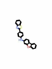 c1ccc2sc(-c3ccc(Nc4ccc5c(c4)oc4ccccc45)cc3)nc2c1